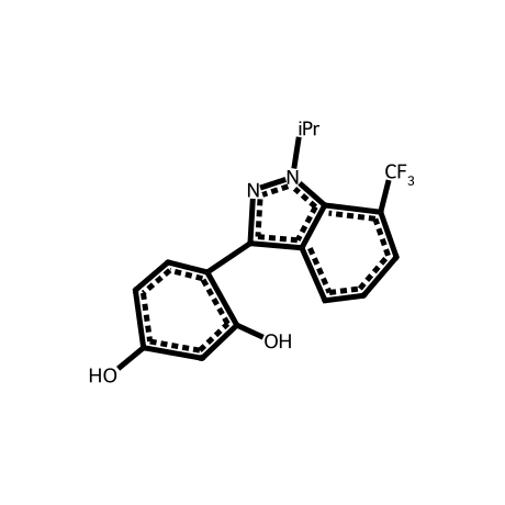 CC(C)n1nc(-c2ccc(O)cc2O)c2cccc(C(F)(F)F)c21